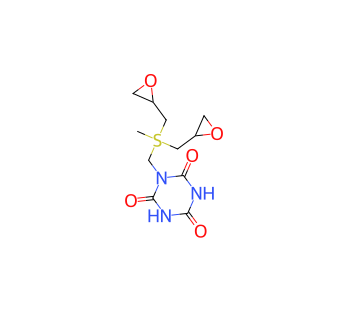 CS(CC1CO1)(CC1CO1)Cn1c(=O)[nH]c(=O)[nH]c1=O